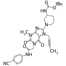 CC#CCn1c(N2CCCC(NC(=O)OC(C)(C)C)C2)nc2c1c(=O)n(CC(=O)Nc1ccc(C#N)cc1)c(=O)n2C